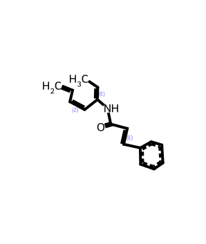 C=C/C=C\C(=C/C)NC(=O)/C=C/c1ccccc1